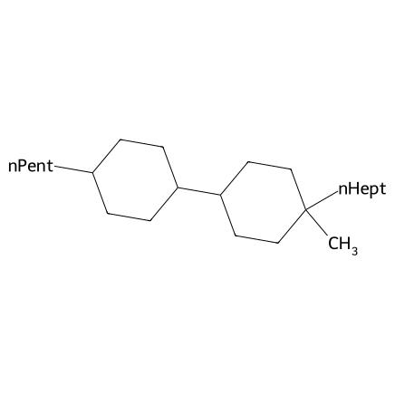 CCCCCCCC1(C)CCC(C2CCC(CCCCC)CC2)CC1